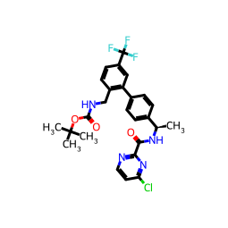 C[C@@H](NC(=O)c1nccc(Cl)n1)c1ccc(-c2cc(C(F)(F)F)ccc2CNC(=O)OC(C)(C)C)cc1